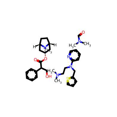 CN(C)C=O.CN(C)CCN(Cc1cccs1)c1ccccn1.CN1[C@@H]2CC[C@H]1C[C@@H](OC(=O)C(CO)c1ccccc1)C2